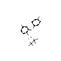 CC(C)(C)c1ccc(Nc2cc(C(C)(C)C)ccc2B2OC(C)(C)C(C)(C)O2)cc1